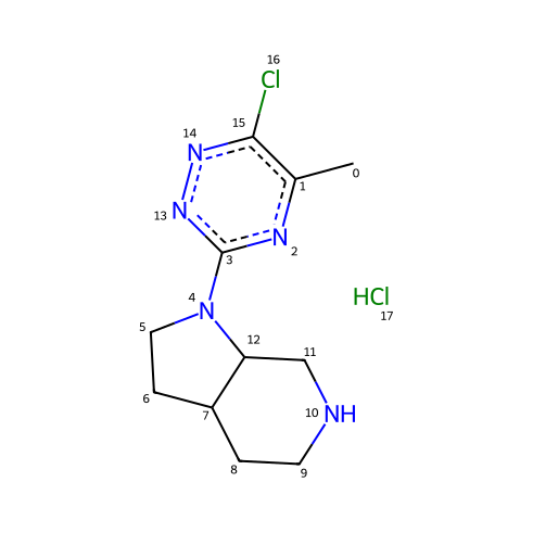 Cc1nc(N2CCC3CCNCC32)nnc1Cl.Cl